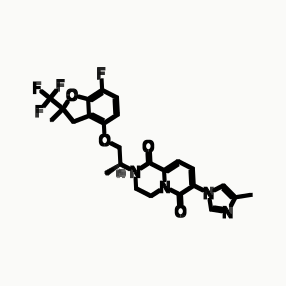 Cc1cn(-c2ccc3n(c2=O)CCN([C@@H](C)COc2ccc(F)c4c2CC(C)(C(F)(F)F)O4)C3=O)cn1